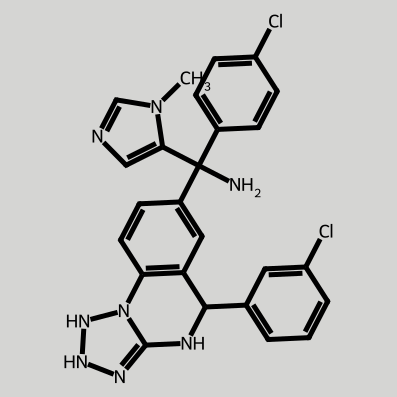 Cn1cncc1C(N)(c1ccc(Cl)cc1)c1ccc2c(c1)C(c1cccc(Cl)c1)NC1=NNNN12